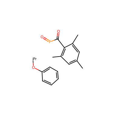 CC(C)Oc1ccccc1.Cc1cc(C)c(C(=O)P=O)c(C)c1